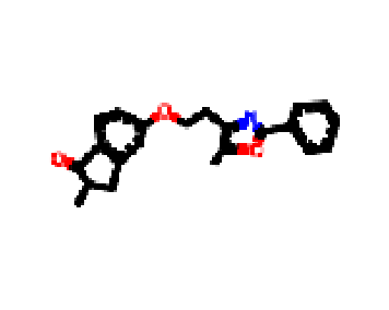 Cc1oc(-c2ccccc2)nc1CCOc1ccc2c(c1)CC(C)C2=O